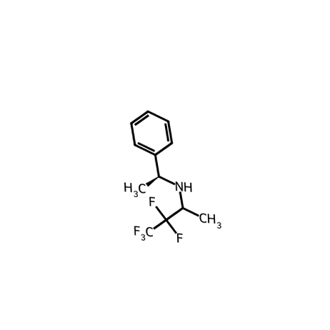 CC(N[C@@H](C)c1ccccc1)C(F)(F)C(F)(F)F